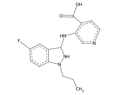 CCCN1NC(Nc2cnccc2C(=O)O)c2cc(F)ccc21